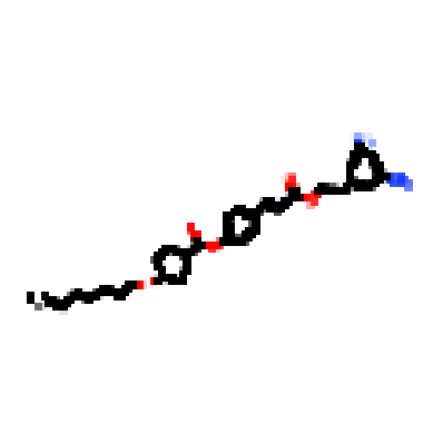 C=CCCCCCOC1CCC(C(=O)Oc2ccc(/C=C/C(=O)OCCc3cc(N)cc(N)c3)cc2)CC1